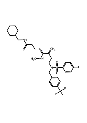 C=C(CCN(Cc1ccc(C(F)(F)F)cc1)S(=O)(=O)c1ccc(F)cc1)/C(=N/CCC(=O)NCC1CCCCC1)NC